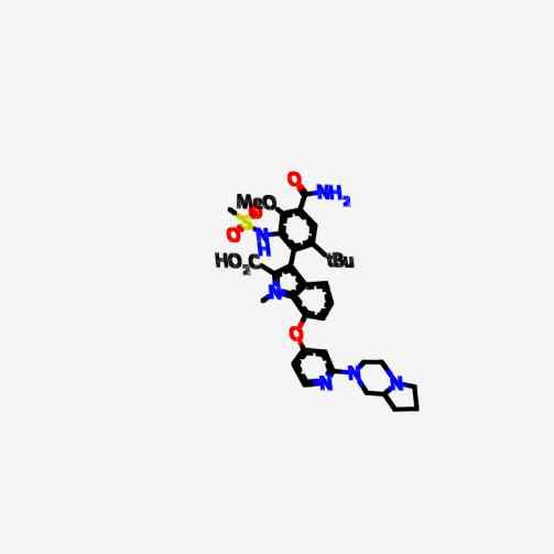 COc1c(C(N)=O)cc(C(C)(C)C)c(-c2c(C(=O)O)n(C)c3c(Oc4ccnc(N5CCN6CCCC6C5)c4)cccc23)c1NS(C)(=O)=O